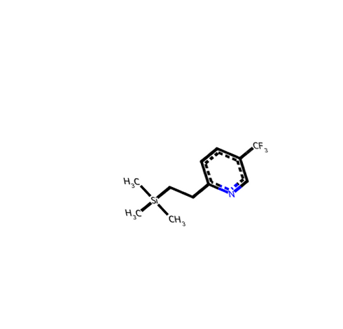 C[Si](C)(C)CCc1ccc(C(F)(F)F)cn1